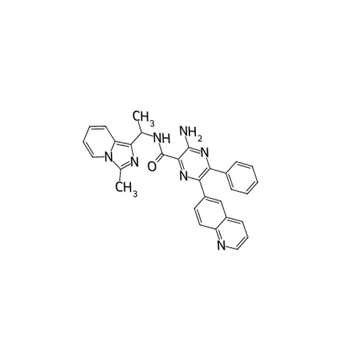 Cc1nc(C(C)NC(=O)c2nc(-c3ccc4ncccc4c3)c(-c3ccccc3)nc2N)c2ccccn12